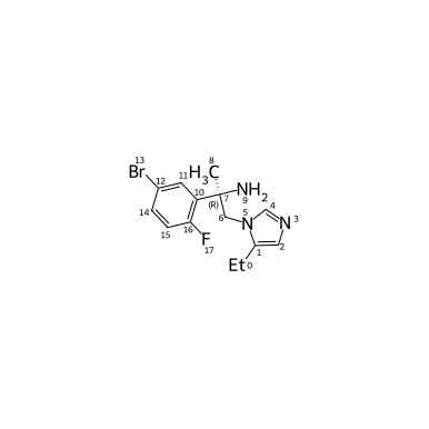 CCc1cncn1C[C@](C)(N)c1cc(Br)ccc1F